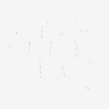 CC1(C)Oc2ccc(C#N)cc2C(N2CCN/C2=N\[N+](=O)[O-])C1O